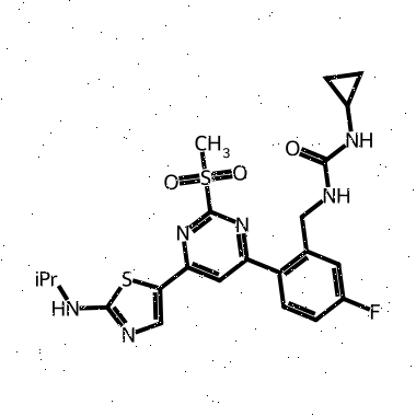 CC(C)Nc1ncc(-c2cc(-c3ccc(F)cc3CNC(=O)NC3CC3)nc(S(C)(=O)=O)n2)s1